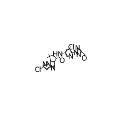 CC1(C)CC(C(=O)Nc2cnc(-n3ncc(C=O)n3)c(Cl)c2)c2cnc3cc(Cl)nn3c21